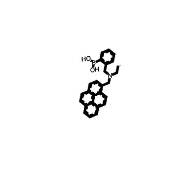 [CH2]CN(Cc1ccccc1B(O)O)Cc1ccc2ccc3cccc4ccc1c2c34